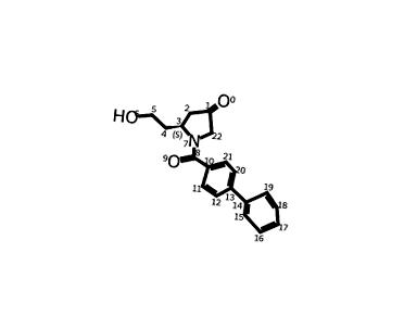 O=C1C[C@H](CCO)N(C(=O)c2ccc(-c3ccccc3)cc2)C1